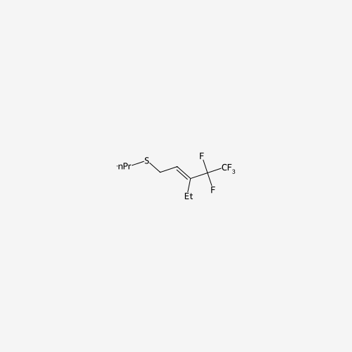 CC[CH]SC/C=C(\CC)C(F)(F)C(F)(F)F